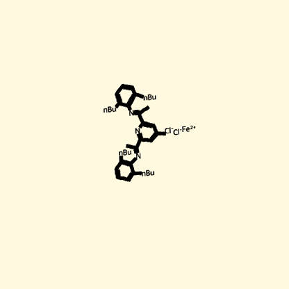 CCCCc1cccc(CCCC)c1N=C(C)c1cc(C)cc(C(C)=Nc2c(CCCC)cccc2CCCC)n1.[Cl-].[Cl-].[Fe+2]